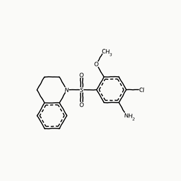 COc1cc(Cl)c(N)cc1S(=O)(=O)N1CCCc2ccccc21